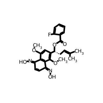 COc1cc([C@@H](CC=C(C)C)OC(=O)c2ccccc2F)c(OC)c2c1/C(=N/O)C=C/C2=N\O